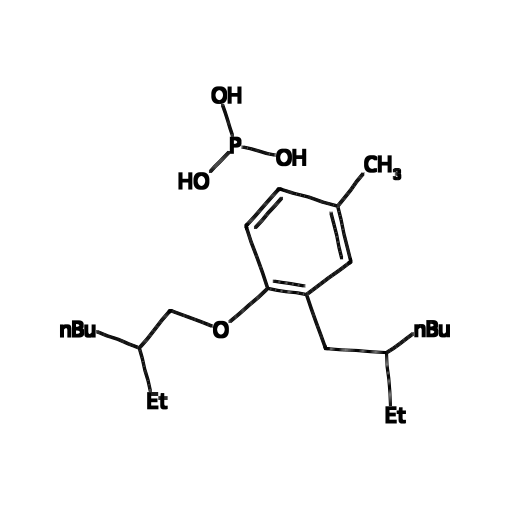 CCCCC(CC)COc1ccc(C)cc1CC(CC)CCCC.OP(O)O